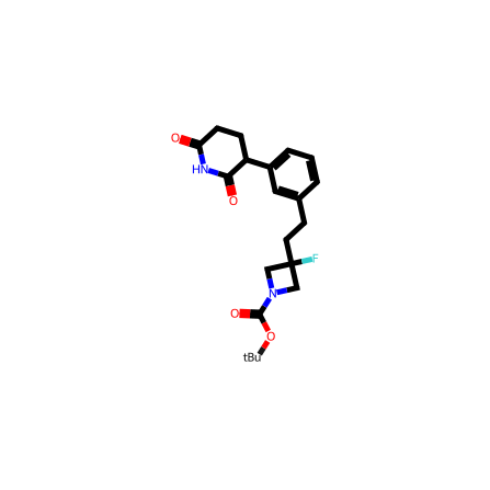 CC(C)(C)OC(=O)N1CC(F)(CCc2cccc(C3CCC(=O)NC3=O)c2)C1